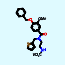 COc1cc(C(=O)N(CCNC(=O)O)Cc2cccs2)ccc1OCc1ccccc1